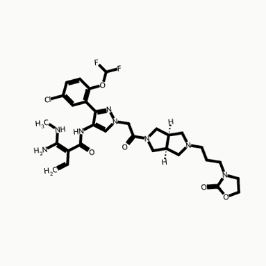 C=C/C(C(=O)Nc1cn(CC(=O)N2C[C@H]3CN(CCCN4CCOC4=O)C[C@H]3C2)nc1-c1cc(Cl)ccc1OC(F)F)=C(\N)NC